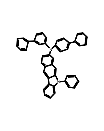 c1ccc(-c2ccc(N(c3cccc(-c4ccccc4)c3)c3ccc4cc5c6ccccc6n(-c6ccccc6)c5cc4c3)cc2)cc1